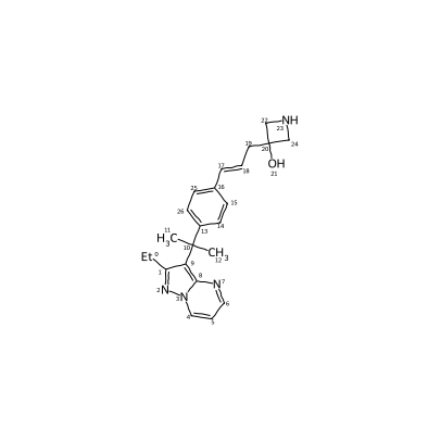 CCc1nn2cccnc2c1C(C)(C)c1ccc(C=CCC2(O)CNC2)cc1